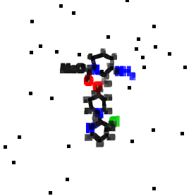 COC(=O)N1CCC[C@H](N)[C@@H]1COC1CCN(c2ncccc2Cl)CC1